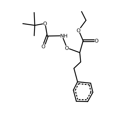 CCOC(=O)C(CCc1ccccc1)ONC(=O)OC(C)(C)C